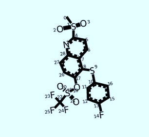 CS(=O)(=O)c1ccc2c(Sc3ccc(F)cc3)c(OS(=O)(=O)C(F)(F)F)ccc2n1